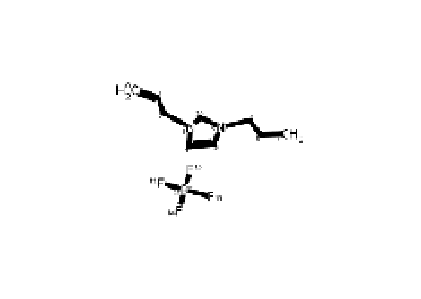 C=CCN1C=CN(CCC)C1.F[B-](F)(F)F